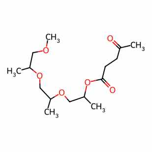 COCC(C)OCC(C)OCC(C)OC(=O)CCC(C)=O